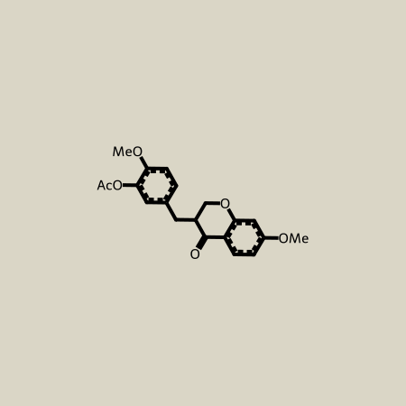 COc1ccc2c(c1)OCC(Cc1ccc(OC)c(OC(C)=O)c1)C2=O